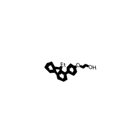 CCC1c2ccccc2-c2cccc(-c3ccc(OCCO)cc3)c21